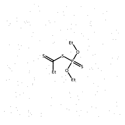 CCOP(=S)(OCC)SC(=S)CC